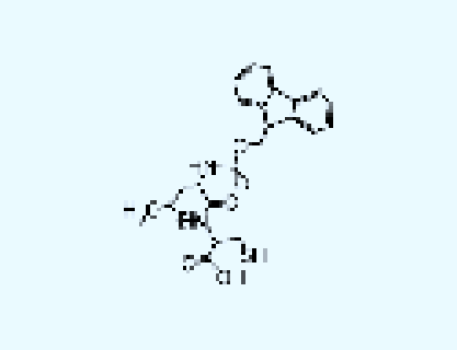 CC(C)C[C@H](NC(=O)OCC1c2ccccc2-c2ccccc21)C(=O)N[C@@H](CS)C(=O)O